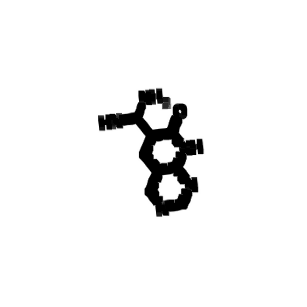 N=C(N)c1cc2cncnc2[nH]c1=O